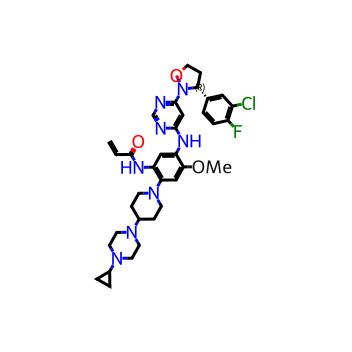 C=CC(=O)Nc1cc(Nc2cc(N3OCC[C@@H]3c3ccc(F)c(Cl)c3)ncn2)c(OC)cc1N1CCC(N2CCN(C3CC3)CC2)CC1